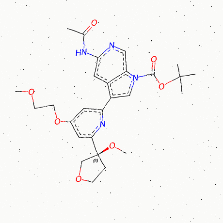 COCCOc1cc(-c2cn(C(=O)OC(C)(C)C)c3cnc(NC(C)=O)cc23)nc([C@]2(OC)CCOC2)c1